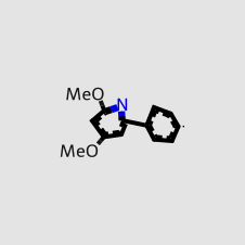 COc1cc(OC)nc(-c2cc[c]cc2)c1